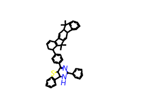 CC1(C)C2=CC3c4ccccc4C(C)(C)C3C=C2C2=C1C(c1ccc(C3=NC(c4ccccc4)NC4c5ccccc5SC34)cc1)CC=C2